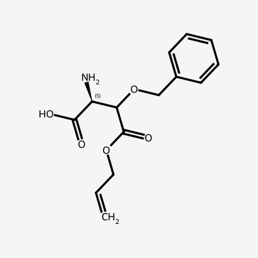 C=CCOC(=O)C(OCc1ccccc1)[C@H](N)C(=O)O